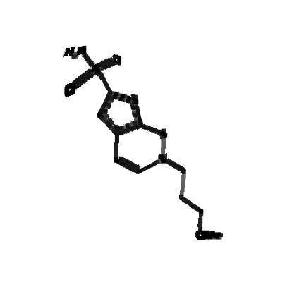 COCCCN1C=Cc2cc(S(N)(=O)=O)sc2S1